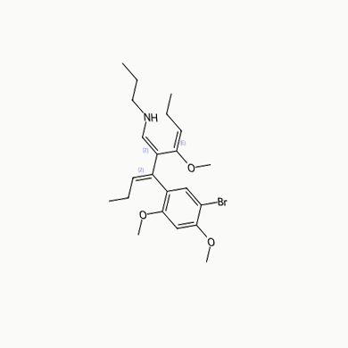 CC/C=C(C(=C/NCCC)/C(=C\CC)OC)\c1cc(Br)c(OC)cc1OC